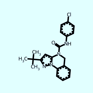 CC(C)(C)c1cc2n(n1)-c1ccccc1CN2C(=O)Nc1ccc(Cl)cc1